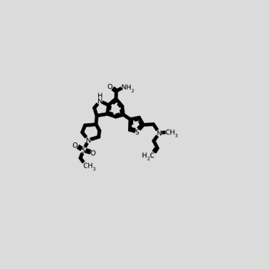 C=CCN(C)Cc1cc(-c2cc(C(N)=O)c3c(c2)C(C2CCN(S(=O)(=O)CC)CC2)CN3)cs1